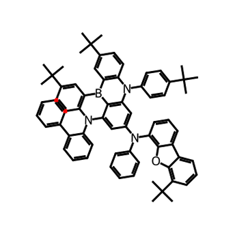 CC(C)(C)c1ccc(N2c3ccc(C(C)(C)C)cc3B3c4cc(C(C)(C)C)ccc4N(c4ccccc4-c4ccccc4)c4cc(N(c5ccccc5)c5cccc6c5oc5c(C(C)(C)C)cccc56)cc2c43)cc1